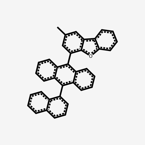 Cc1cc(-c2c3ccccc3c(-c3cccc4ccccc34)c3ccccc23)c2oc3ccccc3c2c1